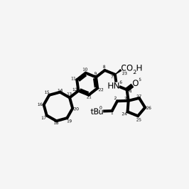 CC(C)(C)CCC1(C(=O)N[C@@H](Cc2ccc(C3CCCCCCC3)cc2)C(=O)O)CCCC1